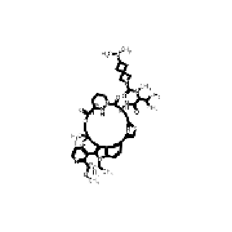 CCn1c(-c2cccnc2[C@H](C)OC)c2c3cc(ccc31)-c1csc(n1)C[C@H](NC(=O)C(C(C)C)N(C)C(=O)N1CC3(CC(N(C)C)C3)C1)C(=O)N1CCC[C@H](N1)C(=O)OCC(C)(C)C2